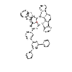 c1ccc(-c2cccc(-n3c4ccccc4c4ccc5c6ccccc6n(-c6nc(-c7ccccc7)nc(-c7cccc(-c8cc(-c9ccccc9)nc(-c9ccccc9)n8)c7)n6)c5c43)n2)cc1